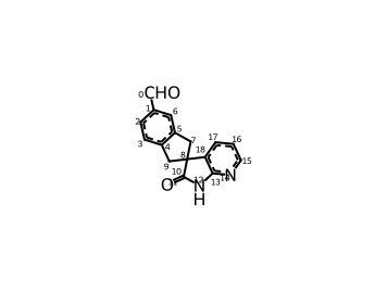 O=Cc1ccc2c(c1)CC1(C2)C(=O)Nc2ncccc21